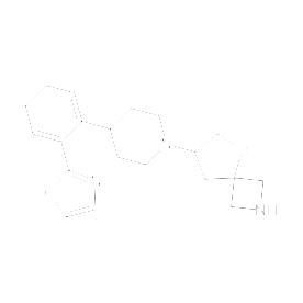 c1ccc(C2CCN(C3COC4(CNC4)C3)CC2)c(-c2ncco2)c1